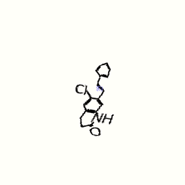 O=C1CCc2cc(Cl)c(/C=C/c3ccccc3)cc2N1